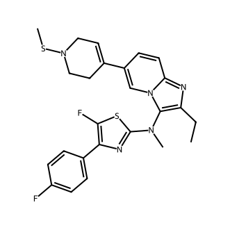 CCc1nc2ccc(C3=CCN(SC)CC3)cn2c1N(C)c1nc(-c2ccc(F)cc2)c(F)s1